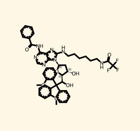 COc1ccccc1C(c1ccccc1)(c1ccccc1OC)C(O)[C@H]1O[C@@H](n2c(NCCCCCCNC(=O)C(F)(F)F)nc3c(NC(=O)c4ccccc4)ncnc32)C[C@@H]1O